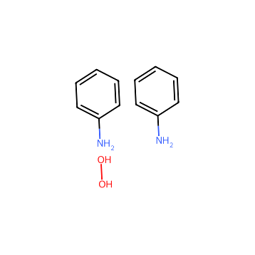 Nc1ccccc1.Nc1ccccc1.OO